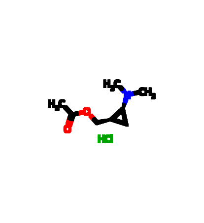 CC(=O)OC[C@@H]1C[C@@H]1N(C)C.Cl